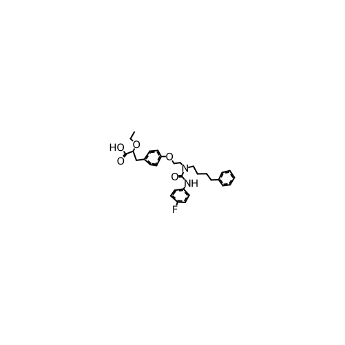 CCOC(Cc1ccc(OCCN(CCCCc2ccccc2)C(=O)Nc2ccc(F)cc2)cc1)C(=O)O